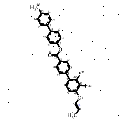 C/C=C/Oc1ccc(-c2ccc(C(=O)Oc3ccc(-c4ccc(C)cc4)cc3)cc2)c(F)c1F